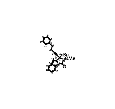 CCCCC1(C#CCCc2ccccc2)c2cc3ccccc3n2C(=O)N1OC